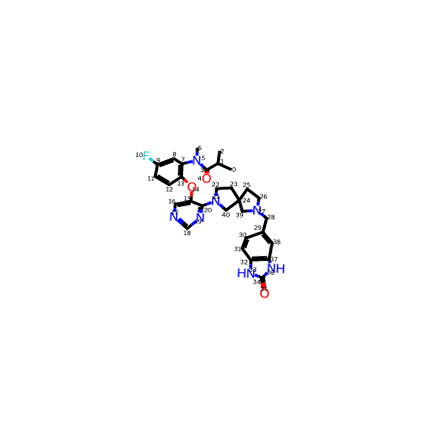 CC(C)C(=O)N(C)c1cc(F)ccc1Oc1cncnc1N1CCC2(CCN(Cc3ccc4[nH]c(=O)[nH]c4c3)C2)C1